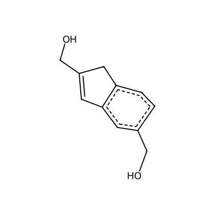 OCC1=Cc2cc(CO)ccc2C1